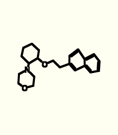 c1ccc2cc(CCOC3CCCCC3N3CCOCC3)ccc2c1